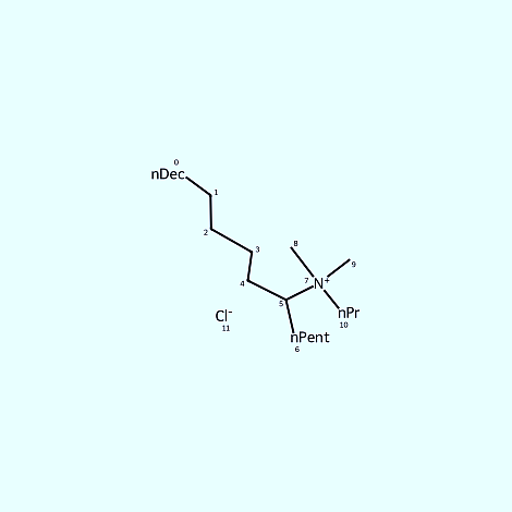 CCCCCCCCCCCCCCC(CCCCC)[N+](C)(C)CCC.[Cl-]